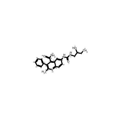 CCC(O)CNC(=O)Nc1ccc2nc(C)c(-c3ccccc3)c(C(N)=O)c2c1